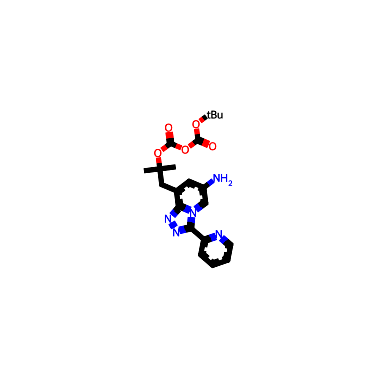 CC(C)(C)OC(=O)OC(=O)OC(C)(C)Cc1cc(N)cn2c(-c3ccccn3)nnc12